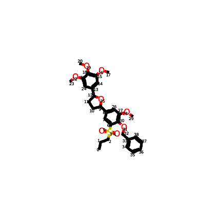 CCCS(=O)(=O)c1cc(C2CCC(c3cc(OC)c(OC)c(OC)c3)O2)cc(OC)c1OCc1ccccc1